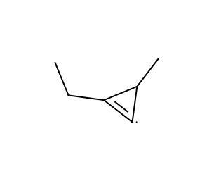 CCC1=[C]C1C